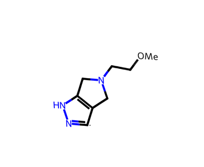 COCCN1Cc2[c]n[nH]c2C1